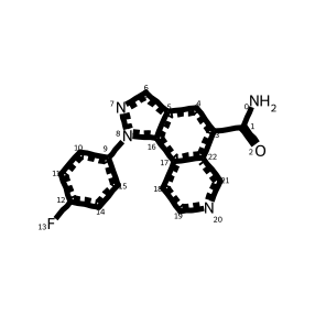 NC(=O)c1cc2cnn(-c3ccc(F)cc3)c2c2ccncc12